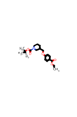 CCOC(=O)c1ccc(OCC2CCCN(C(=O)OC(C)(C)C)C2)cc1